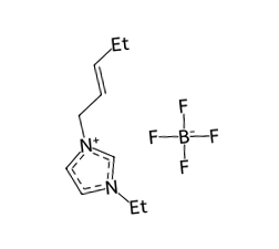 CCC=CC[n+]1ccn(CC)c1.F[B-](F)(F)F